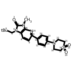 Cn1c(=O)n(CC(C)(C)C)c2ccc(-c3ccc(N4CCS(=O)(=O)CC4)cc3)nc21